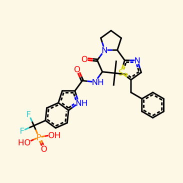 CC(C)(C)C(NC(=O)c1cc2cc(C(F)(F)P(=O)(O)O)ccc2[nH]1)C(=O)N1CCCC1c1ncc(Cc2ccccc2)s1